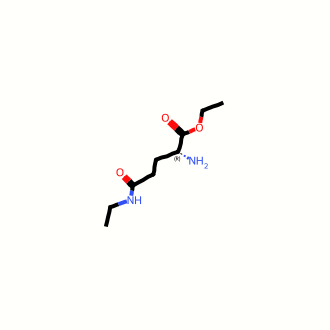 CCNC(=O)CC[C@@H](N)C(=O)OCC